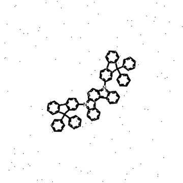 c1ccc(C2(c3ccccc3)c3ccccc3-c3ccc(-n4c5ccccc5c5c6c7ccccc7n(-c7ccc8c(c7)C(c7ccccc7)(c7ccccc7)c7ccccc7-8)c6ccc54)cc32)cc1